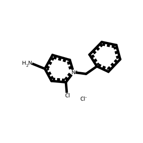 Nc1cc[n+](Cc2ccccc2)c(Cl)c1.[Cl-]